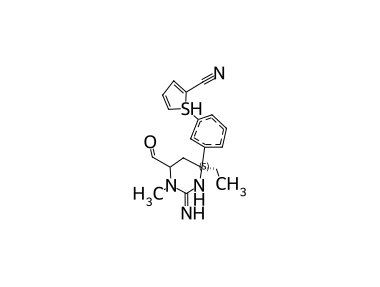 CC[C@@]1(c2cccc([SH]3C=CC=C3C#N)c2)CC(C=O)N(C)C(=N)N1